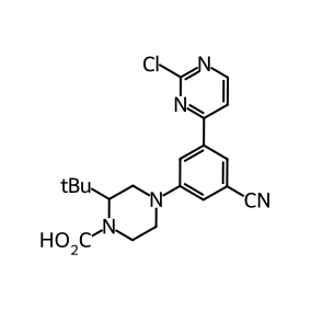 CC(C)(C)C1CN(c2cc(C#N)cc(-c3ccnc(Cl)n3)c2)CCN1C(=O)O